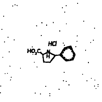 Cl.O=C(O)[C@@H]1CCC(c2ccccc2)N1